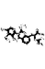 COC(=O)N(Cc1cccc(CC(OC(C)C)C(=O)O)c1)c1ncc(C)c(OC)c1C